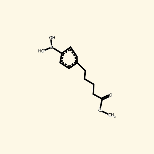 COC(=O)CCCCc1ccc(B(O)O)cc1